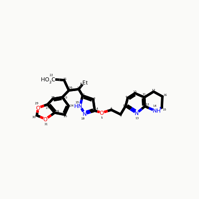 CCC(c1cc(OCCc2ccc3c(n2)NCCC3)n[nH]1)C(CC(=O)O)c1ccc2c(c1)OCO2